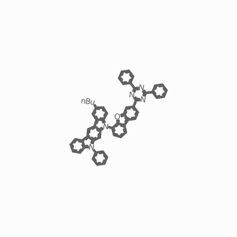 CCCCc1ccc2c(c1)c1cc3c4ccccc4n(-c4ccccc4)c3cc1n2-c1cccc2c1oc1cc(-c3nc(-c4ccccc4)nc(-c4ccccc4)n3)ccc12